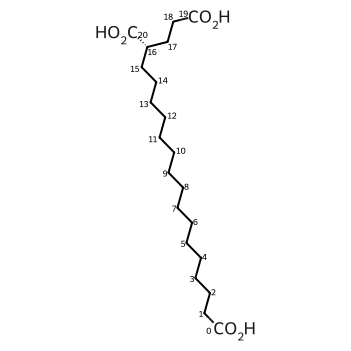 O=C(O)CCCCCCCCCCCCCCC[C@@H](CCC(=O)O)C(=O)O